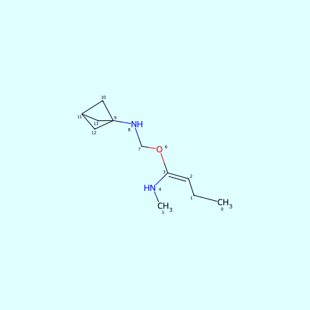 CC/C=C(\NC)OCNC12CC(C1)C2